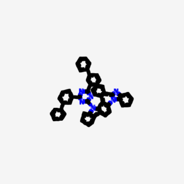 c1ccc(-c2cccc(-c3nc(-c4cccc(-c5ccccc5)c4)nc(-n4c5ccccc5c5ccc6c(c7ccccc7c7nc8ccccc8n67)c54)n3)c2)cc1